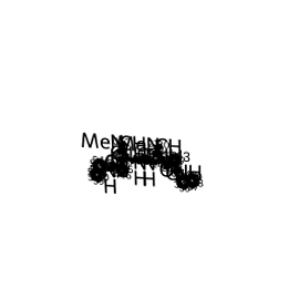 CN[C@@H](C)C(=O)N[C@@H](CCNC(=O)NCC[C@H](NC(=O)[C@H](C)NC)C(=O)N1CCC[C@H]1C(=O)N[C@@H]1CCCc2ccccc21)C(=O)N1CCC[C@H]1C(=O)N[C@@H]1CCCc2ccccc21